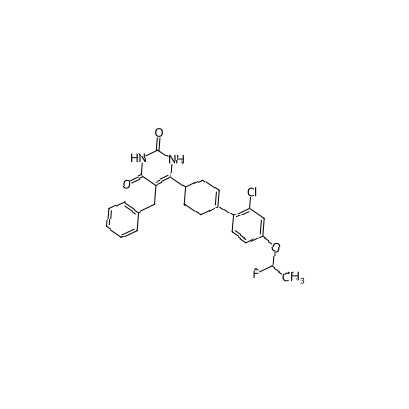 CC(F)Oc1ccc(C2=CCC(c3[nH]c(=O)[nH]c(=O)c3Cc3ccccc3)CC2)c(Cl)c1